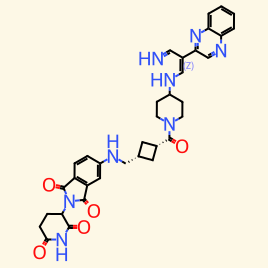 N=C/C(=C\NC1CCN(C(=O)[C@H]2C[C@@H](CNc3ccc4c(c3)C(=O)N(C3CCC(=O)NC3=O)C4=O)C2)CC1)c1cnc2ccccc2n1